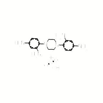 Nc1ccc(N2CCN(c3ccc(N)cc3N)CC2)c(N)c1.O=S(=O)(O)O